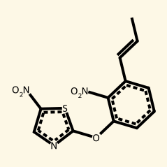 CC=Cc1cccc(Oc2ncc([N+](=O)[O-])s2)c1[N+](=O)[O-]